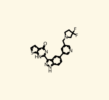 O=c1nc(-c2n[nH]c3ccc(-c4cncc(CN5CCC(F)(F)C5)c4)cc23)[nH]c2sccc12